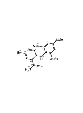 CNc1cc(NC)c(Nc2ccc(Br)cc2C(N)=O)c(NC)c1